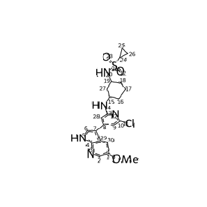 COc1cnc2[nH]cc(-c3cc(Cl)nc(NC4CCCC(NS(=O)(=O)C5CC5)C4)c3)c2c1